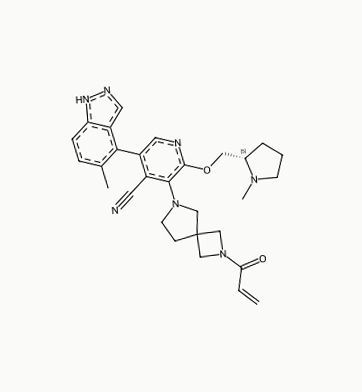 C=CC(=O)N1CC2(CCN(c3c(OC[C@@H]4CCCN4C)ncc(-c4c(C)ccc5[nH]ncc45)c3C#N)C2)C1